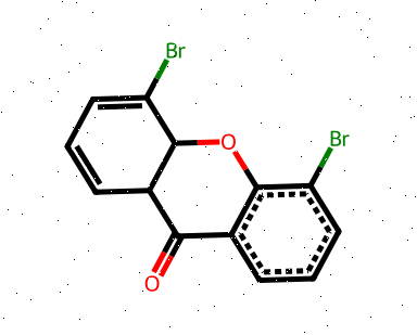 O=C1c2cccc(Br)c2OC2C(Br)=CC=CC12